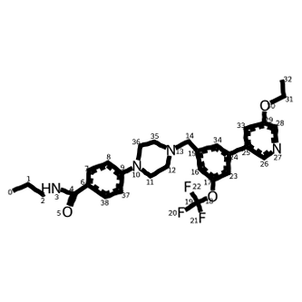 CCCNC(=O)c1ccc(N2CCN(Cc3cc(OC(F)(F)F)cc(-c4cncc(OCC)c4)c3)CC2)cc1